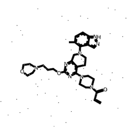 C=CC(=O)N1CCN(c2nc(OCCCN3CCOCC3)nc3c2CCN(c2c(C)ccc4[nH]ncc24)C3)CC1